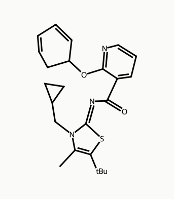 Cc1c(C(C)(C)C)s/c(=N\C(=O)c2cccnc2OC2C=CC=CC2)n1CC1CC1